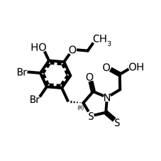 CCOc1cc(C[C@H]2SC(=S)N(CC(=O)O)C2=O)c(Br)c(Br)c1O